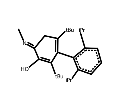 CN=C1CC(C(C)(C)C)=C(c2c(C(C)C)cccc2C(C)C)C(C(C)(C)C)=C1O